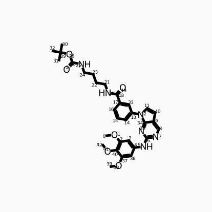 COc1cc(Nc2ncc3ccn(-c4cccc(C(=O)NCCCCNC(=O)OC(C)(C)C)c4)c3n2)cc(OC)c1OC